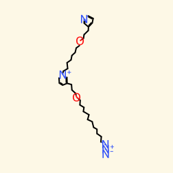 [N-]=[N+]=NCCCCCCCCCCCCOCCCc1ccc[n+](CCCCCCCCOCCCc2cccnc2)c1